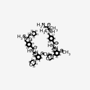 COc1ccc(N2CCOCC2)c2sc(NC(=O)c3ccc(CN(C)C(=O)CN4CCCC4)cc3)nc12.COc1ccc(N2CCOCC2)c2sc(NC(=O)c3ccc(CNC(C)(C)C(=O)CN)cc3)nc12